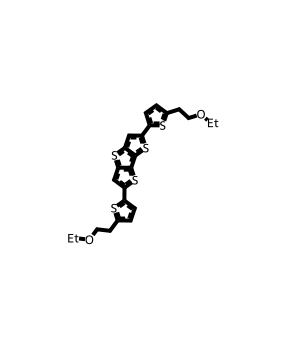 CCOCCc1ccc(-c2cc3sc4cc(-c5ccc(CCOCC)s5)sc4c3s2)s1